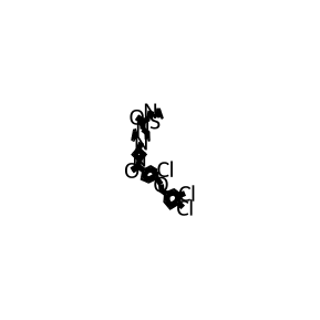 O=C(c1ccc(OCc2ccc(Cl)c(Cl)c2)c(Cl)c1)N1CC(N2CCN(C(=O)c3nccs3)CC2)C1